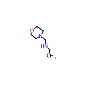 CCNCN1CCOCC1